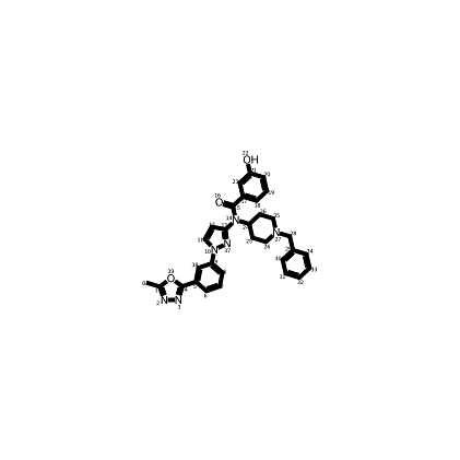 Cc1nnc(-c2cccc(-n3ccc(N(C(=O)c4cccc(O)c4)C4CCN(Cc5ccccc5)CC4)n3)c2)o1